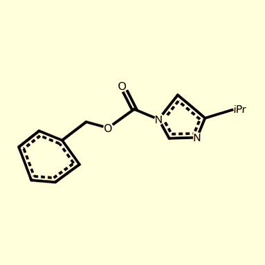 CC(C)c1cn(C(=O)OCc2ccccc2)cn1